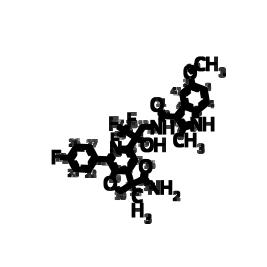 COc1ccc2[nH]c(C)c(C(=O)NCC(O)(c3cc4c(c(-c5ccc(F)cc5)n3)OC[C@]4(C)C(N)=O)C(F)(F)F)c2c1